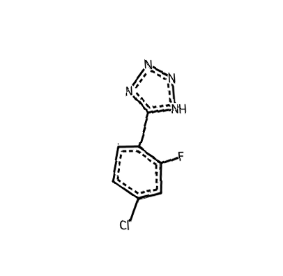 Fc1cc(Cl)c[c]c1-c1nnn[nH]1